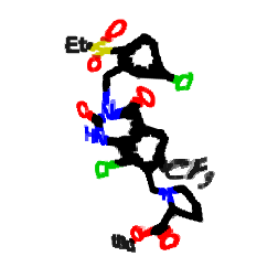 CCS(=O)(=O)c1ccc(Cl)cc1Cn1c(=O)[nH]c2c(Cl)c(CN3CCCC3C(=O)OC(C)(C)C)c(C(F)(F)F)cc2c1=O